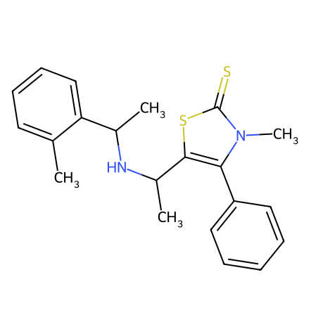 Cc1ccccc1C(C)NC(C)c1sc(=S)n(C)c1-c1ccccc1